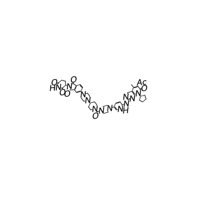 CC(=O)c1c(C)c2cnc(Nc3ccc(N4CCN(C(=O)N5CCC(N6CCN(c7ccc8c(c7)C(=O)N(C7CCC(=O)NC7=O)C8=O)CC6)CC5)CC4)cn3)nc2n(C2CCCC2)c1=O